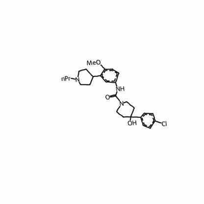 CCCN1CCC(c2cc(NC(=O)N3CCC(O)(c4ccc(Cl)cc4)CC3)ccc2OC)CC1